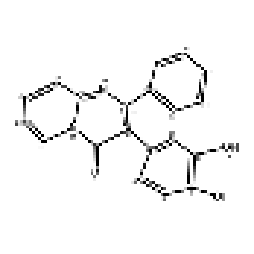 O=c1c(-c2ccc(O)c(O)c2)c(-c2ccccc2)nc2ccccn12